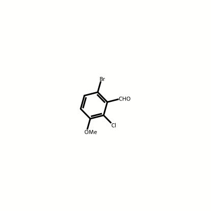 COc1ccc(Br)c(C=O)c1Cl